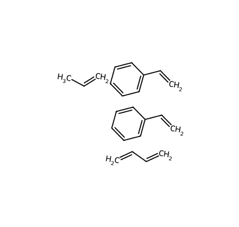 C=CC.C=CC=C.C=Cc1ccccc1.C=Cc1ccccc1